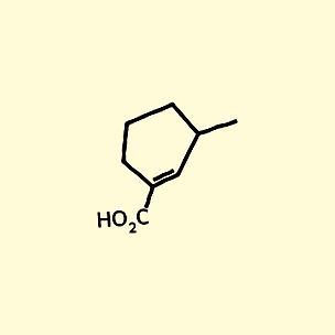 CC1C=C(C(=O)O)CCC1